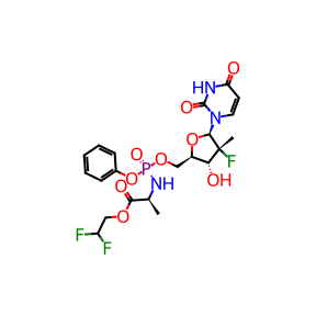 C[C@H](NP(=O)(OC[C@H]1O[C@@H](n2ccc(=O)[nH]c2=O)[C@](C)(F)[C@@H]1O)Oc1ccccc1)C(=O)OCC(F)F